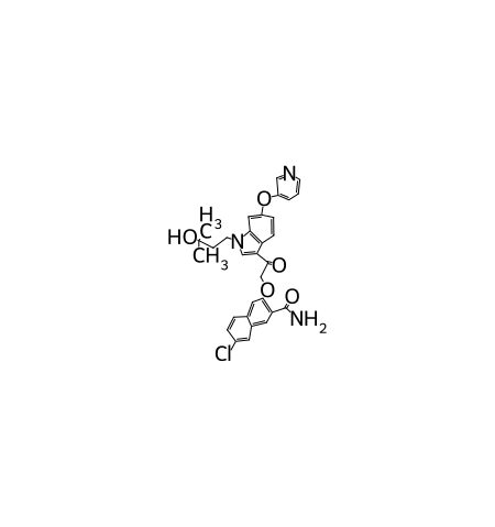 CC(C)(O)CCn1cc(C(=O)COc2cc3ccc(Cl)cc3cc2C(N)=O)c2ccc(Oc3cccnc3)cc21